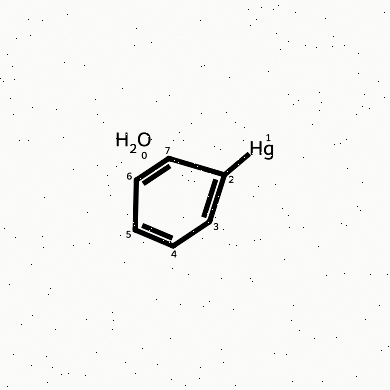 O.[Hg][c]1ccccc1